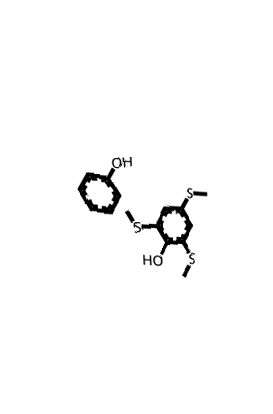 CSc1cc(SC)c(O)c(SC)c1.Oc1ccccc1